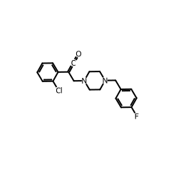 O=C=C(CN1CCN(Cc2ccc(F)cc2)CC1)c1ccccc1Cl